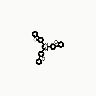 c1ccc2c(c1)oc1cc(-c3cc(-c4ccc5c(c4)oc4ccccc45)nc(-c4ccc5c(c4)oc4ccccc45)n3)ccc12